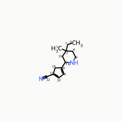 CCC1(C)CCNC(C2=CC=C(C#N)C2)C1